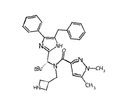 Cc1cc(C(=O)N(CC2CNC2)[C@@H](c2nc(-c3ccccc3)c(Cc3ccccc3)[nH]2)C(C)(C)C)nn1C